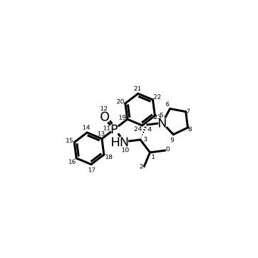 CC(C)[C@@H](CN1CCCC1)NP(=O)(c1ccccc1)c1ccccc1